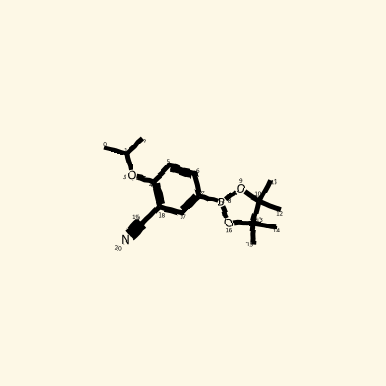 CC(C)Oc1ccc(B2OC(C)(C)C(C)(C)O2)cc1C#N